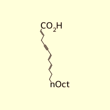 CCCCCCCCCC/C=C/C=C/C#CC/C=C/C(=O)O